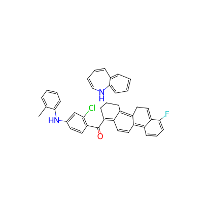 C1=CNc2ccccc2C=C1.Cc1ccccc1Nc1ccc(C(=O)C2=c3ccc4c(c3CCC2)CC=c2c(F)cccc2=4)c(Cl)c1